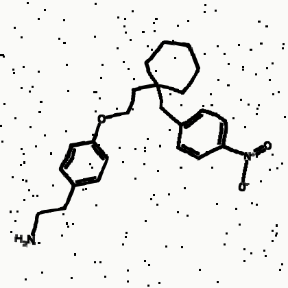 NCCc1ccc(OCCC2(Cc3ccc([N+](=O)[O-])cc3)CCCCC2)cc1